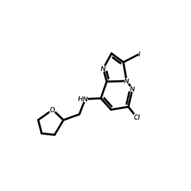 Clc1cc(NCC2CCCO2)c2ncc(I)n2n1